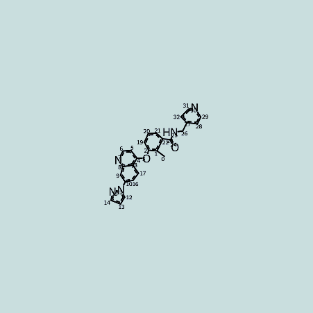 Cc1c(Oc2ccnc3cc(-n4cccn4)ccc23)cccc1C(=O)NCc1ccncc1